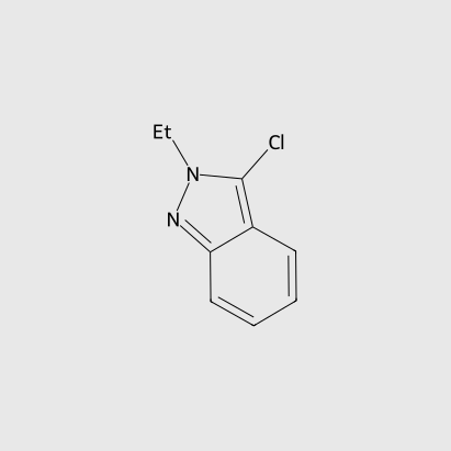 CCn1nc2ccccc2c1Cl